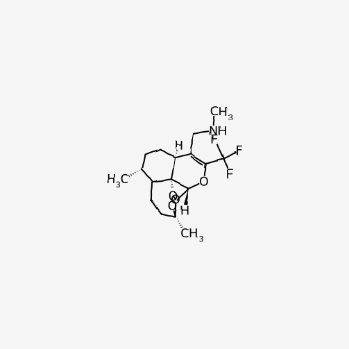 CNCC1=C(C(F)(F)F)O[C@@H]2O[C@]3(C)CCC4[C@H](C)CC[C@@H]1[C@]42OO3